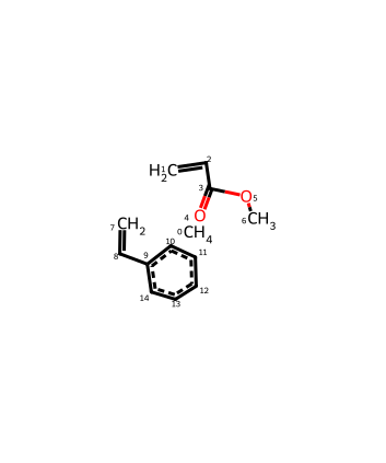 C.C=CC(=O)OC.C=Cc1ccccc1